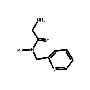 CC(C)N(Cc1ccccn1)C(=O)CN